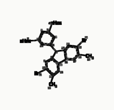 CCCCCCc1cc(CCCCCC)cc(C2c3cc(Br)c(C)cc3-c3cc(C)c(Br)cc32)c1